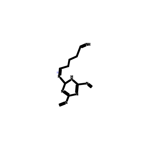 C=NC1=NC(/N=C\CCCC=N)NC(N=C)=N1